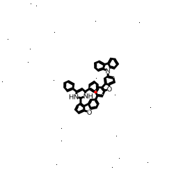 C1=C(c2ccccc2)NC(c2cccc3oc4ccc(-c5ccc6c(c5)oc5ccc(-n7c8ccccc8c8ccccc87)cc56)cc4c23)NC1c1ccccc1